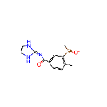 Cc1ccc(C(=O)N=C2NCCN2)cc1[S+](C)[O-]